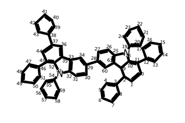 C1=CC(c2ccccc2)C2C(=C1c1ccccc1)N(c1ccccc1)c1ccc(-c3ccc4c(c3)c3cc(-c5ccccc5)cc(-c5ccccc5)c3n4-c3ccccc3)cc12